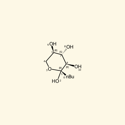 CCCC[C@@]1(O)OC[C@@H](O)[C@H](O)[C@H]1O